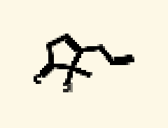 C=CCC1=CCC(=O)C1(C)O